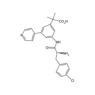 CC(C)(C(=O)O)c1cc(NC(=O)[C@@H](N)Cc2ccc(Cl)cc2)cc(-c2ccncc2)c1